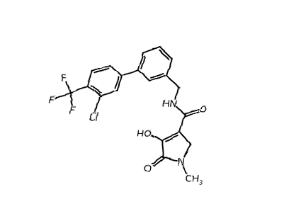 CN1CC(C(=O)NCc2cccc(-c3ccc(C(F)(F)F)c(Cl)c3)c2)=C(O)C1=O